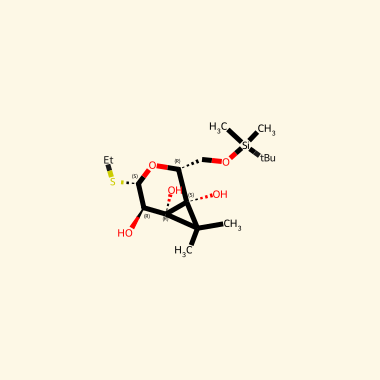 CCS[C@@H]1O[C@H](CO[Si](C)(C)C(C)(C)C)[C@@]2(O)C(C)(C)[C@@]2(O)[C@H]1O